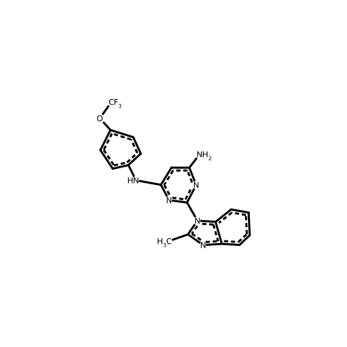 Cc1nc2ccccc2n1-c1nc(N)cc(Nc2ccc(OC(F)(F)F)cc2)n1